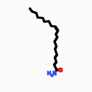 CCCCCCCC/C=C\CCCCCCCCCC(N)=O